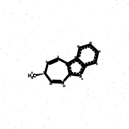 C[C@@H]1C=Cc2c(sc3ccccc23)N=C1